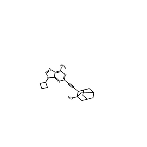 Nc1nc(C#CC2C3CC4CC(C3)CC2(O)C4)nc2c1ncn2C1CCC1